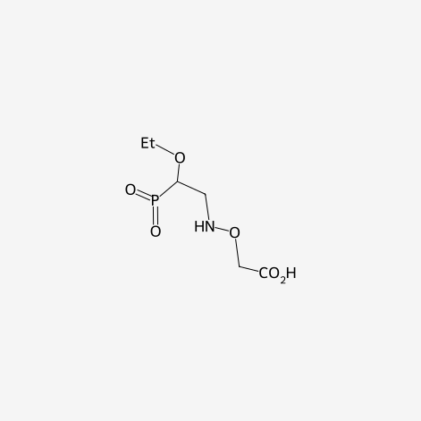 CCOC(CNOCC(=O)O)P(=O)=O